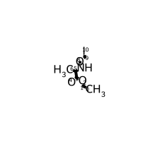 CCOC(=O)C(C)NOCI